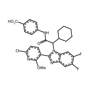 COc1nc(Cl)ccc1-c1nc2cc(F)c(F)cc2n1C(C(=O)Nc1ccc(C(=O)O)cc1)C1CCCCC1